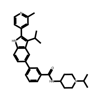 Cc1cc(-c2[nH]c3ccc(-c4cccc(C(=O)NC5CCN(C(C)C)CC5)c4)cc3c2C(C)C)ccn1